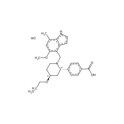 CCO[C@H]1CCN(Cc2c(OC)cc(C)c3[nH]ccc23)[C@H](c2ccc(C(=O)O)cc2)C1.Cl.O